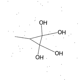 CC1C(O)(O)C1(O)O